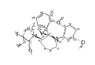 CN(C(=O)C(F)(F)F)[C@@H]1CCCN2c3cc(Cl)ccc3Oc3ccccc3[C@@H]12